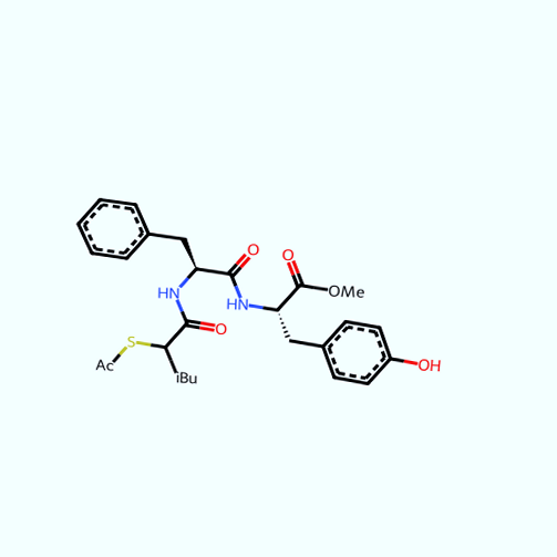 CCC(C)C(SC(C)=O)C(=O)N[C@@H](Cc1ccccc1)C(=O)N[C@@H](Cc1ccc(O)cc1)C(=O)OC